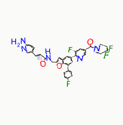 Nc1ccc(/C=C/C(=O)NCc2cc3cc(-c4ncc(C(=O)N5CCC(F)(F)CC5)cc4F)cc(-c4ccc(F)cc4)c3o2)cn1